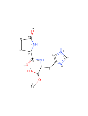 CCOC(O)C(Cc1c[nH]cn1)NC(=O)C1CCC(=O)N1